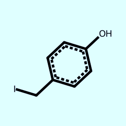 Oc1ccc(CI)cc1